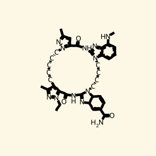 CCn1nc(C)c2c1C(=O)NC1=NC3C=C(C(N)=O)C=CC3N1CCCCn1c(nc3c(NC)cccc31)NC(=O)c1cc(C)nn1CCCCC2